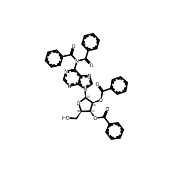 O=C(O[C@@H]1[C@H](OC(=O)c2ccccc2)[C@H](n2cnc3c(N(C(=O)c4ccccc4)C(=O)c4ccccc4)ncnc32)O[C@@H]1CO)c1ccccc1